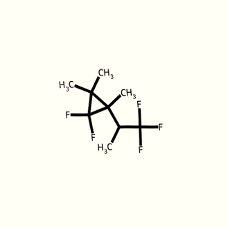 CC(C(F)(F)F)C1(C)C(C)(C)C1(F)F